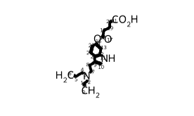 C=CCN(CC=C)CCc1c[nH]c2cc(OC(=O)CCCC(=O)O)ccc12